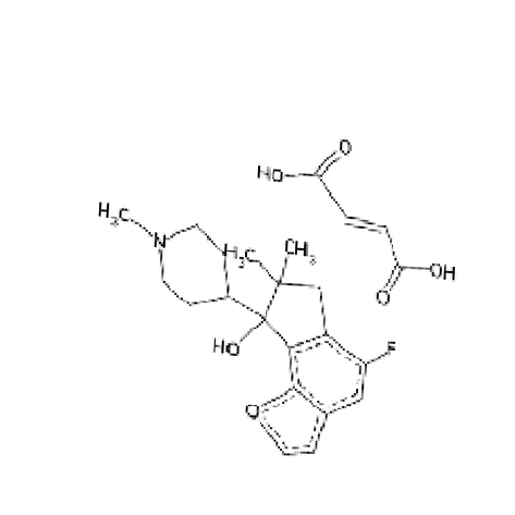 CN1CCC(C2(O)c3c(c(F)cc4ccoc34)CC2(C)C)CC1.O=C(O)C=CC(=O)O